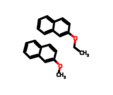 CCOc1ccc2ccccc2c1.COc1ccc2ccccc2c1